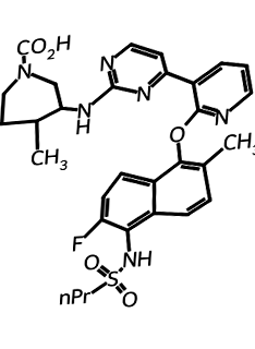 CCCS(=O)(=O)Nc1c(F)ccc2c(Oc3ncccc3-c3ccnc(NC4CN(C(=O)O)CCC4C)n3)c(C)ccc12